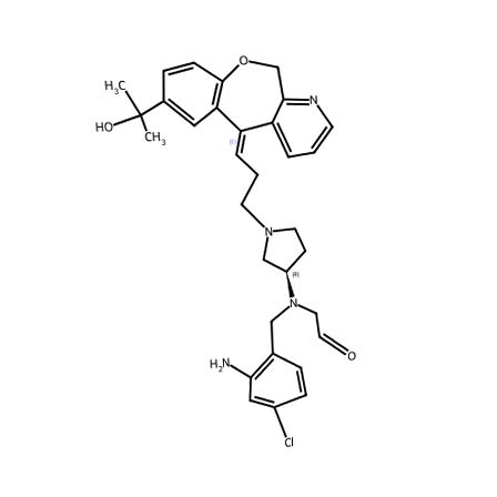 CC(C)(O)c1ccc2c(c1)/C(=C/CCN1CC[C@@H](N(CC=O)Cc3ccc(Cl)cc3N)C1)c1cccnc1CO2